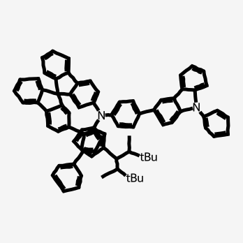 CC(C(c1ccc(-c2ccc3c(c2)C2(c4ccccc4-3)c3ccccc3-c3ccc(N(c4ccc(-c5ccccc5)cc4)c4ccc(-c5ccc6c(c5)c5ccccc5n6-c5ccccc5)cc4)cc32)cc1)C(C)C(C)(C)C)C(C)(C)C